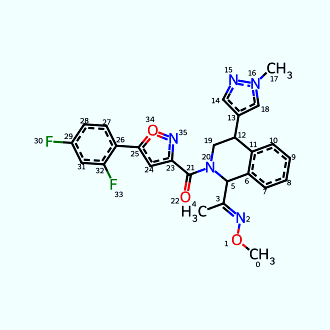 CON=C(C)C1c2ccccc2C(c2cnn(C)c2)CN1C(=O)c1cc(-c2ccc(F)cc2F)on1